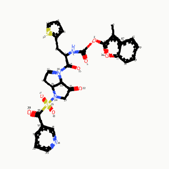 Cc1c(OC(=O)NC(Cc2cccs2)C(=O)N2CCC3C2C(=O)CN3S(=O)(=O)C(=O)c2cccnc2)oc2ccccc12